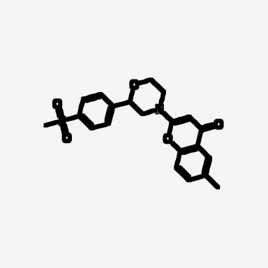 Cc1ccc2oc(N3CCOC(c4ccc(S(C)(=O)=O)cc4)C3)cc(=O)c2c1